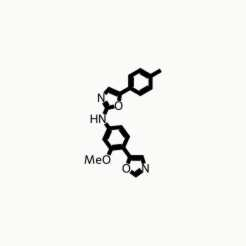 COc1cc(Nc2ncc(-c3ccc(C)cc3)o2)ccc1-c1cnco1